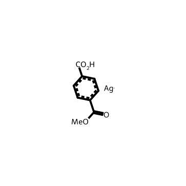 COC(=O)c1ccc(C(=O)O)cc1.[Ag]